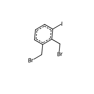 BrCc1cccc(I)c1CBr